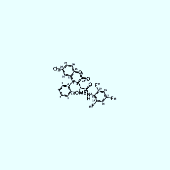 COc1ccccc1-c1c(CC(=O)Nc2c(F)cc(F)cc2F)c(=O)oc2ccc(Cl)cc12